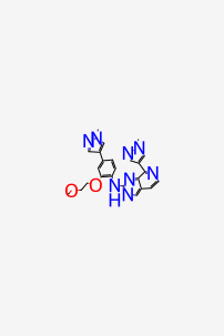 COCCOc1cc(-c2cnn(C)c2)ccc1Nc1ncc2ccnc(-c3cnn(C)c3)c2n1